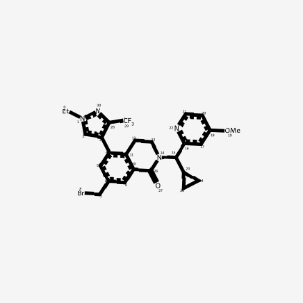 CCn1cc(-c2cc(CBr)cc3c2CCN(C(c2cc(OC)ccn2)C2CC2)C3=O)c(C(F)(F)F)n1